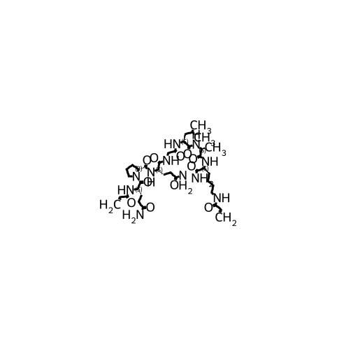 C=CC(=O)NCCCC[C@H](NC(=O)[C@H](C)NC(=O)[C@H](CC(C)C)NC(=O)CNC(=O)[C@H](CCC(N)=O)NC(=O)[C@H]1CCCN1C(=O)[C@H](CCC(N)=O)NC(=O)C=C)C(N)=O